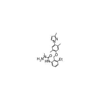 CCc1cccc(NC(=O)N(C)N)c1COc1cc(C)c(-n2ccc(C)n2)cc1C